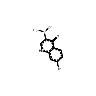 C[S+]([O-])c1c[nH]c2cc(Br)ccc2c1=O